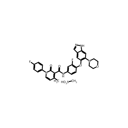 CS(=O)(=O)O.Cc1ccn(-c2ccc(F)cc2)c(=O)c1C(=O)Nc1ccc(Oc2cc3cn[nH]c3cc2N2CCOCC2)c(F)c1